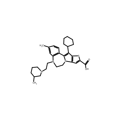 Cc1ccc2c(c1)N(CCN1CCCC(C)C1)CCn1c-2c(C2CCCCC2)c2sc(C(=O)O)cc21